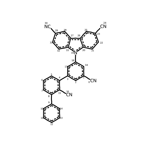 N#Cc1cc(-c2cccc(-c3ccccc3)c2C#N)cc(-n2c3ccc(C#N)cc3c3cc(C#N)ccc32)c1